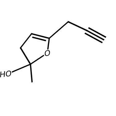 C#CCC1=CCC(C)(O)O1